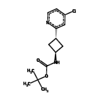 CC(C)(C)OC(=O)N[C@H]1C[C@H](c2cc(Cl)ccn2)C1